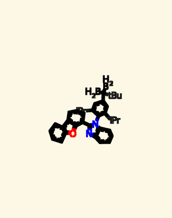 BC(B)(c1cc(C(C)C)c(-n2c(-c3cccc4c3oc3ccccc34)nc3ccccc32)c(C(C)C)c1)C(C)(C)C